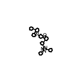 c1ccc(-c2nc(-c3ccccc3)nc(-c3cccc(-c4cccc5oc6cc(-n7c8ccccc8c8c(-c9ccccc9)cccc87)ccc6c45)c3)n2)cc1